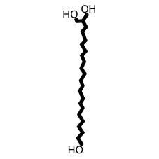 OCCCCCCCCCCCCCCCCCCCCCC(CO)CO